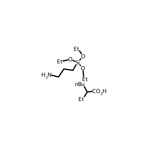 CCCCC(CC)C(=O)O.CCO[Si](CCCN)(OCC)OCC